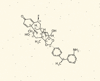 C[C@@H](c1ccc([C@H]2O[C@@H]3C[C@H]4[C@@H]5C[C@H](F)C6=CC(=O)C=C[C@]6(C)[C@@]5(F)[C@@H](O)C[C@]4(C)[C@]3(C(=O)CO)O2)cc1)c1cccc(N)c1